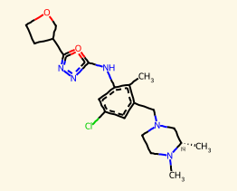 Cc1c(CN2CCN(C)[C@@H](C)C2)cc(Cl)cc1Nc1nnc(C2CCOC2)o1